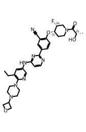 CCc1cc(Nc2ccnc(-c3ccc(O[C@H]4CCN(C(=O)[C@H](C)O)C[C@H]4F)c(C#N)c3)n2)cnc1N1CCN(C2COC2)CC1